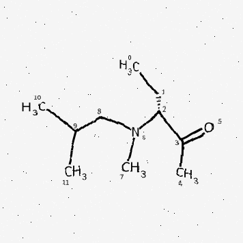 CC[C@H](C(C)=O)N(C)CC(C)C